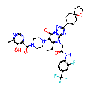 CCc1c(N2CCN(C(=O)c3ncnc(C)c3O)CC2)c(=O)n2nc(C3=CCC4(CCCO4)CC3)nc2n1CC(=O)Nc1ccc(C(F)(F)F)cc1F